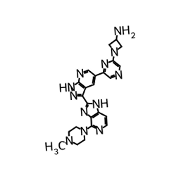 CN1CCN(c2nccc3[nH]c(-c4n[nH]c5ncc(-c6cncc(N7CC(N)C7)n6)cc45)nc23)CC1